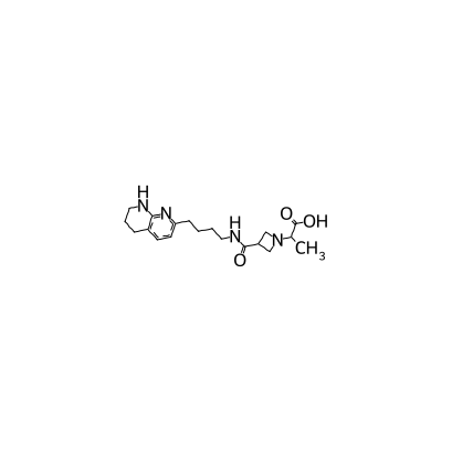 CC(C(=O)O)N1CC(C(=O)NCCCCc2ccc3c(n2)NCCC3)C1